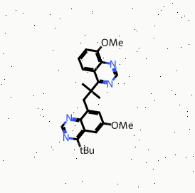 COc1cc(CC(C)(C)c2ncnc3c(OC)cccc23)c2ncnc(C(C)(C)C)c2c1